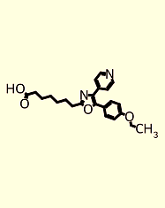 CCOc1ccc(-c2oc(CCCCCCC(=O)O)nc2-c2ccncc2)cc1